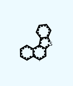 [c]1cc2sc3ccccc3c2c2ccccc12